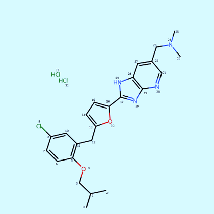 CC(C)COc1ccc(Cl)cc1Cc1ccc(-c2nc3ncc(CN(C)C)cc3[nH]2)o1.Cl.Cl